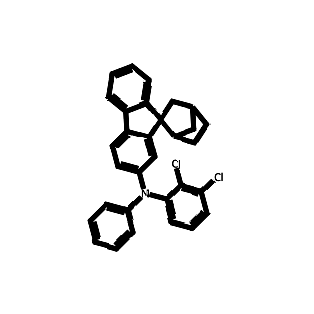 Clc1cccc(N(c2ccccc2)c2ccc3c(c2)C2(CC4CCC2C4)c2ccccc2-3)c1Cl